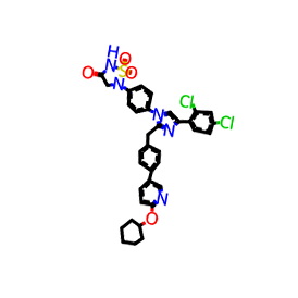 O=C1CN(c2ccc(-n3cc(-c4ccc(Cl)cc4Cl)nc3Cc3ccc(-c4ccc(OC5CCCCC5)nc4)cc3)cc2)S(=O)(=O)N1